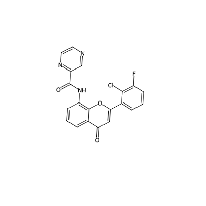 O=C(Nc1cccc2c(=O)cc(-c3cccc(F)c3Cl)oc12)c1cnccn1